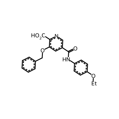 CCOc1ccc(NC(=O)c2cnc(C(=O)O)c(OCc3ccccc3)c2)cc1